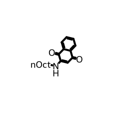 CCCCCCCCNC1=CC(=O)c2ccccc2C1=O